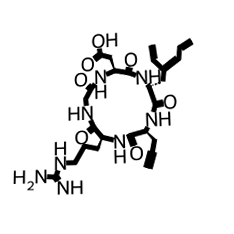 C#CC[C@@H]1NC(=O)[C@@H](C/C(C=C)=C/C=C)NC(=O)[C@H](CC(=O)O)NC(=O)CNC(=O)[C@H](CCCNC(=N)N)NC1=O